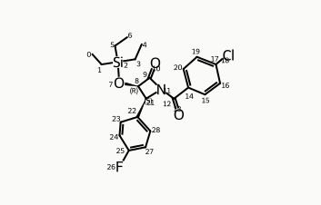 CC[Si](CC)(CC)O[C@H]1C(=O)N(C(=O)c2ccc(Cl)cc2)[C@H]1c1ccc(F)cc1